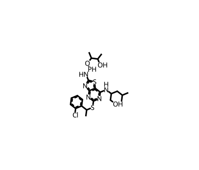 CC(C)CC(CO)Nc1nc(SC(C)c2ccccc2Cl)nc2nc(NPOC(C)C(C)O)sc12